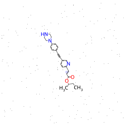 CCC(C)OC(=O)/C=C/c1ccc(C#Cc2ccc(N3CCNCC3)cc2)cn1